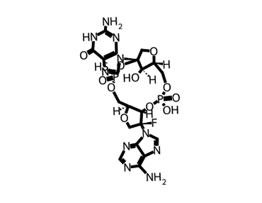 Nc1nc2c(ncn2[C@]23CO[C@H](COP(=O)(O)O[C@@H]4[C@H](COP(=O)(S)O2)OC[C@@]4(F)n2cnc4c(N)ncnc42)[C@H]3O)c(=O)[nH]1